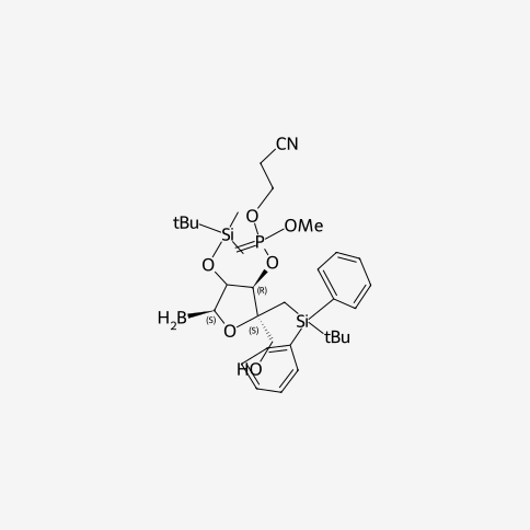 B[C@@H]1O[C@](CO)(C[Si](c2ccccc2)(c2ccccc2)C(C)(C)C)[C@H](OP(=C)(OC)OCCC#N)C1O[Si](C)(C)C(C)(C)C